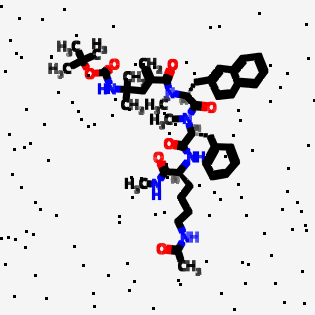 C=C(CC(C)(C)NC(=O)OC(C)(C)C)C(=O)N(C)[C@H](Cc1ccc2ccccc2c1)C(=O)N(C)[C@H](Cc1ccccc1)C(=O)N[C@@H](CCCCNC(C)=O)C(=O)NC